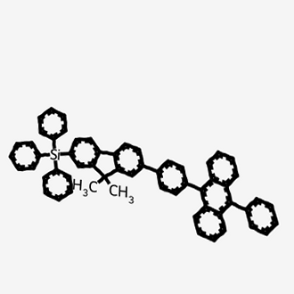 CC1(C)c2cc(-c3ccc(-c4c5ccccc5c(-c5ccccc5)c5ccccc45)cc3)ccc2-c2ccc([Si](c3ccccc3)(c3ccccc3)c3ccccc3)cc21